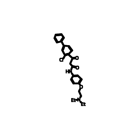 CCN(CC)CCOc1ccc(NC(=O)CC(=O)c2ccc(-c3ccccc3)cc2Cl)cc1